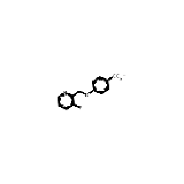 O=C(O)c1ccc(OCc2ncccc2F)cc1